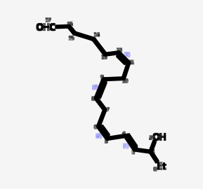 CCC(O)/C=C/C=C\C/C=C\C/C=C\CCCCC=O